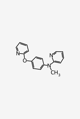 CN(c1ccc(Oc2ccccn2)cc1)c1ccccn1